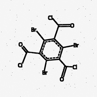 O=C(Cl)c1c(Br)c(C(=O)Cl)c(Br)c(C(=O)Cl)c1Br